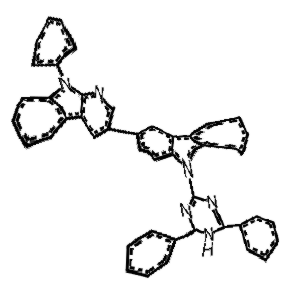 c1ccc(C2=NC(n3c4ccccc4c4cc(-c5cnc6c(c5)c5ccccc5n6-c5ccccc5)ccc43)=NC(c3ccccc3)N2)cc1